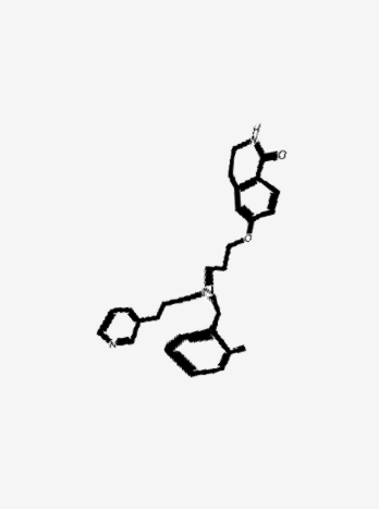 Cc1ccccc1CN(CCCOc1ccc2c(c1)CCNC2=O)CCc1cccnc1